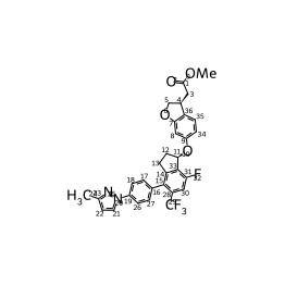 COC(=O)C[C@@H]1COc2cc(O[C@@H]3CCc4c(-c5ccc(-n6ccc(C)n6)cc5)c(C(F)(F)F)cc(F)c43)ccc21